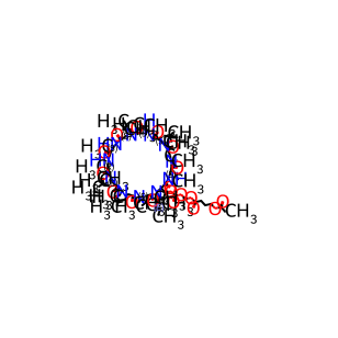 C/C=C/C[C@@H](C)C(OC(=O)OCOC(=O)CCCOC(=O)CC)C1C(=O)N[C@@H](CC)C(=O)N(C)CC(=O)N(C)[C@@H](CC(C)C)C(=O)N[C@@H](C(C)C)C(=O)N(C)[C@@H](CC(C)C)C(=O)N[C@@H](C)C(=O)N[C@H](C)C(=O)N(C)[C@@H](CC(C)C)C(=O)N(C)C(CC(C)C)C(=O)N(C)[C@@H](C(C)C)C(=O)N1C